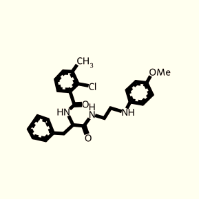 COc1ccc(NCCNC(=O)C(Cc2ccccc2)NC(=O)c2cccc(C)c2Cl)cc1